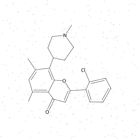 Cc1cc(C)c2c(=O)cc(-c3ccccc3Cl)oc2c1C1CCN(C)CC1